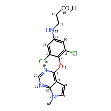 Cn1ccc2c(Oc3c(Cl)cc(NCCC(=O)O)cc3Cl)ncnc21